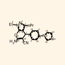 CCCc1nn(CC)c2c1C(c1ccc(-n3ccnc3)cc1)C(C#N)=C(N)O2